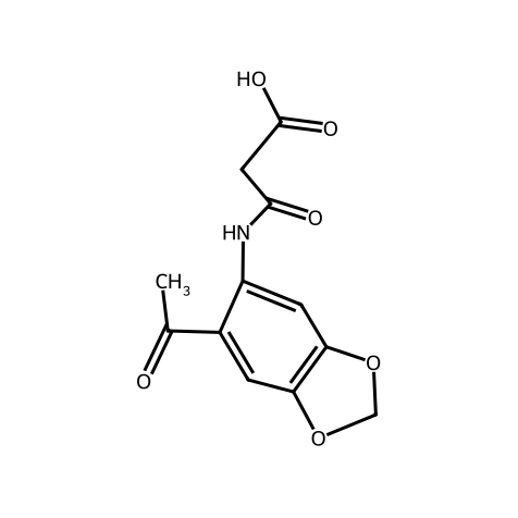 CC(=O)c1cc2c(cc1NC(=O)CC(=O)O)OCO2